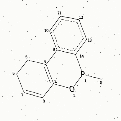 CP1OC2=C(CCC=C2)c2ccccc21